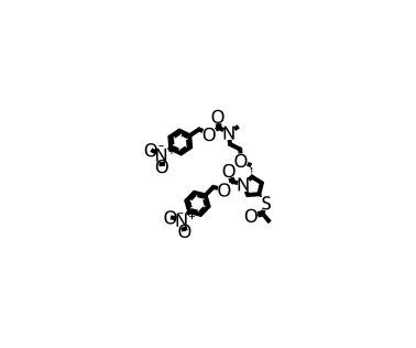 CC(=O)S[C@H]1C[C@@H](COCCN(C)C(=O)OCc2ccc([N+](=O)[O-])cc2)N(C(=O)OCc2ccc([N+](=O)[O-])cc2)C1